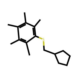 Cc1c(C)c(C)c(SCC2CCCC2)c(C)c1C